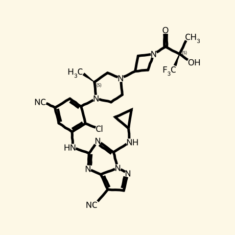 C[C@H]1CN(C2CN(C(=O)[C@](C)(O)C(F)(F)F)C2)CCN1c1cc(C#N)cc(Nc2nc(NC3CC3)n3ncc(C#N)c3n2)c1Cl